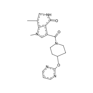 Cc1c[nH]c(=O)c2c(C(=O)N3CCC(Oc4ncccn4)CC3)cn(C)c12